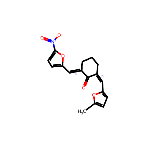 Cc1ccc(/C=C2/CCC/C(=C\c3ccc([N+](=O)[O-])o3)C2=O)o1